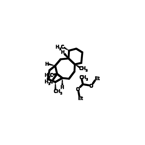 CCOC(C)OCC.C[C@@H]1CCC[C@@]2(C)CC[C@H]3[C@H](C)CC[C@@H](C[C@H]12)C3(C)C